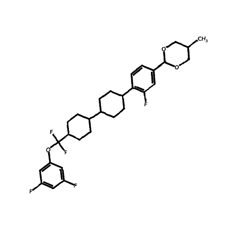 CC1COC(c2ccc(C3CCC(C4CCC(C(F)(F)Oc5cc(F)cc(F)c5)CC4)CC3)c(F)c2)OC1